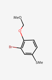 COCOc1ccc(SC)cc1Br